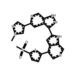 Cn1cc(-c2cc3c(-c4cc5c(-c6ccc(S(C)(=O)=O)s6)cncc5[nH]4)n[nH]c3cn2)cn1